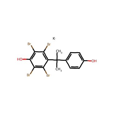 CC(C)(c1ccc(O)cc1)c1c(Br)c(Br)c(O)c(Br)c1Br.[K]